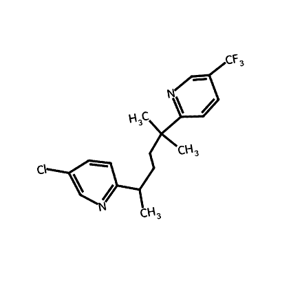 CC(CCC(C)(C)c1ccc(C(F)(F)F)cn1)c1ccc(Cl)cn1